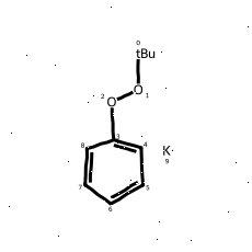 CC(C)(C)OOc1ccccc1.[K]